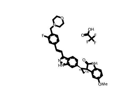 COc1ccc2c(c1)[C@]1(C[C@H]1c1ccc3c(C=Cc4ccc(CN5CCOCC5)c(F)c4)n[nH]c3c1)C(=O)N2.O=C(O)C(F)(F)F